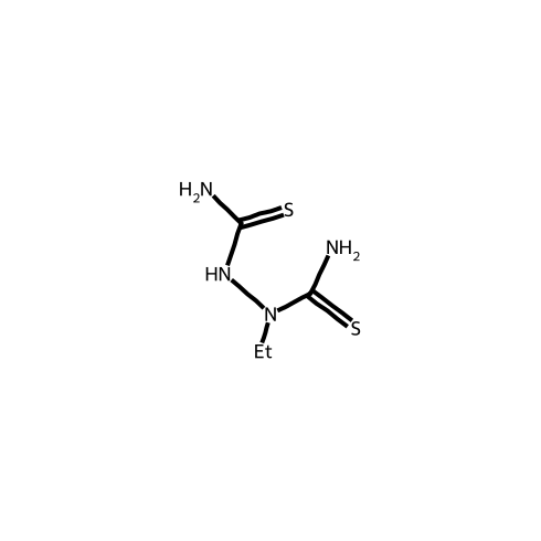 CCN(NC(N)=S)C(N)=S